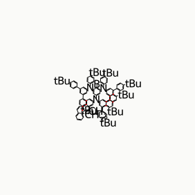 CC(C)(C)c1ccc(-c2cc(-c3ccc(C(C)(C)C)cc3)cc(N(c3cc4c5c(c3)N(c3cc(-c6ccc(C(C)(C)C)cc6)cc(-c6ccc(C(C)(C)C)cc6)c3)c3ccc(C(C)(C)C)cc3B5c3cc(C(C)(C)C)ccc3N4c3cc(-c4ccc(C(C)(C)C)cc4)cc(-c4ccc(C(C)(C)C)cc4)c3)c3ccc4c(c3)C(C)(C)c3c-4ccc4ccccc34)c2)cc1